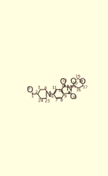 O=CC1CCN(c2ccc3c(c2)C(=O)N(C2CCOCO2)C3=O)CC1